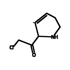 O=C(CCl)C1[C]=CCCN1